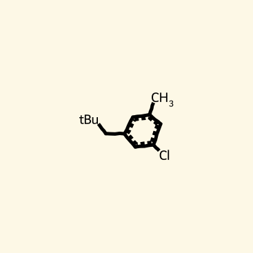 Cc1cc(Cl)cc(CC(C)(C)C)c1